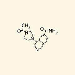 CC(=O)N1CCN(c2cncc3ccc(C(N)=O)cc23)CC1